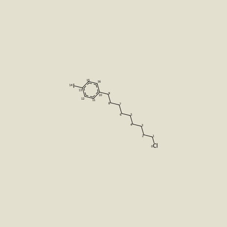 ClCCCCCCCCCc1ccc(I)cc1